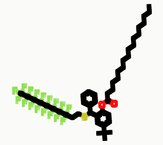 CCCCCCCCCCCCCCCCCC(=O)Oc1ccc(C(C)(C)C)cc1C(SCCC(F)(F)C(F)(F)C(F)(F)C(F)(F)C(F)(F)C(F)(F)C(F)(F)C(F)(F)F)c1ccccc1